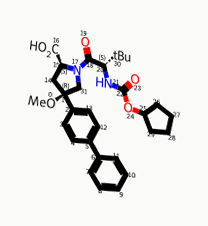 CO[C@@]1(c2ccc(-c3ccccc3)cc2)C[C@@H](C(=O)O)N(C(=O)[C@@H](NC(=O)OC2CCCC2)C(C)(C)C)C1